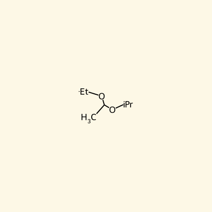 [CH2]C(C)OC(C)O[CH]C